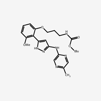 COc1cccc(OCCCNC(=O)OC(C)(C)C)c1-c1cc(Nc2cnc(C)cn2)n[nH]1